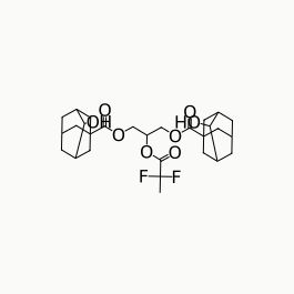 CC(F)(F)C(=O)OC(COC(=O)C12CC3CC(C1)C(O)C(C3)C2)COC(=O)C12CC3CC(C1)C(O)C(C3)C2